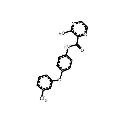 O=C(Nc1ccc(Oc2cccc(C(F)(F)F)c2)cc1)c1nccnc1O